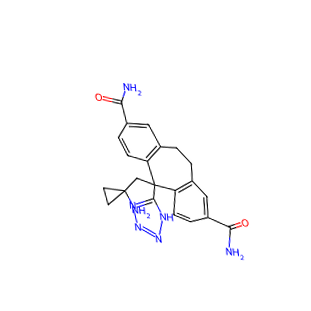 NC(=O)c1ccc2c(c1)CCc1cc(C(N)=O)ccc1C2(CC1(N)CC1)c1nnn[nH]1